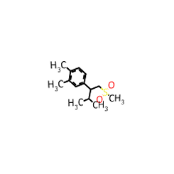 Cc1ccc(C(CS(C)(=O)=O)C(C)C)cc1C